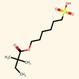 CCC(C)(C)C(=O)OCCCCCCS(=O)(=O)O